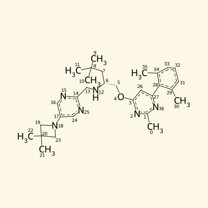 Cc1nc(OC[C@@H](CC(C)(C)C)NCc2ncc(N3CC(C)(C)C3)cn2)cc(-c2c(C)cccc2C)n1